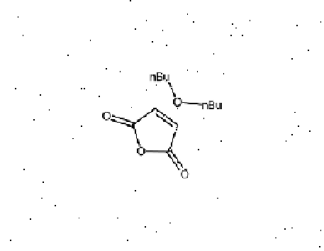 CCCCOCCCC.O=C1C=CC(=O)O1